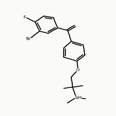 C=C(c1ccc(OCC(C)(C)[SiH](C)C)cc1)c1ccc(F)c(Br)c1